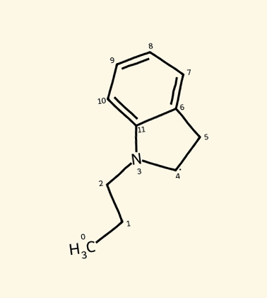 CCCN1[CH]Cc2ccccc21